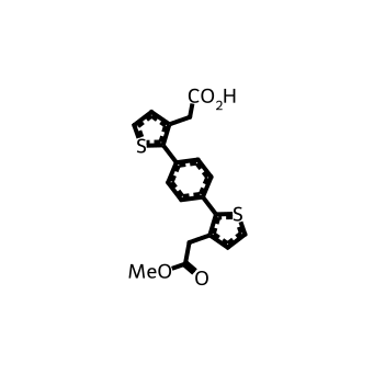 COC(=O)Cc1ccsc1-c1ccc(-c2sccc2CC(=O)O)cc1